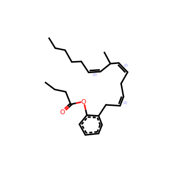 CCCCC/C=C\C(C)/C=C\C/C=C\Cc1ccccc1OC(=O)CCC